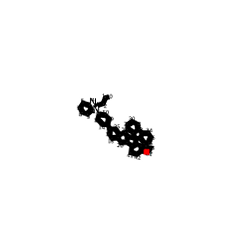 CCCc1nc2ccccc2n1-c1ccc(-c2ccc3cc4c(cc3c2)C2(c3ccccc3-c3ccccc32)c2c-4ccc3ccccc23)cc1